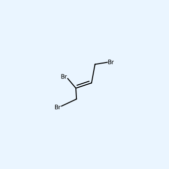 BrCC=C(Br)CBr